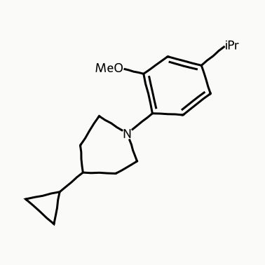 COc1cc(C(C)C)ccc1N1CCC(C2CC2)CC1